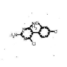 Nc1nc(N)c(-c2ccc(Cl)cc2Cl)c(Cl)n1